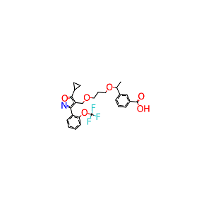 CC(OCCCOCc1c(-c2ccccc2OC(F)(F)F)noc1C1CC1)c1cccc(C(=O)O)c1